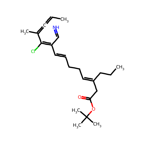 CC=C=C(C)/C(Cl)=C(C=N)/C=C/CC/C=C(\CCC)CC(=O)OC(C)(C)C